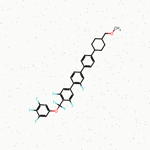 COCC1CCC(c2ccc(-c3ccc(-c4cc(F)c(C(F)(F)Oc5cc(F)c(F)c(F)c5)c(F)c4)c(F)c3)cc2)CC1